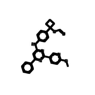 COc1ccc(-c2nc(Nc3ccc(C4(OC=O)CCC4)cc3)cc(-c3ccccc3)n2)cn1